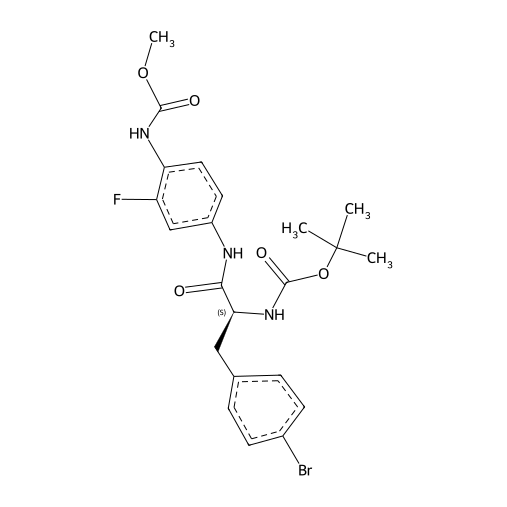 COC(=O)Nc1ccc(NC(=O)[C@H](Cc2ccc(Br)cc2)NC(=O)OC(C)(C)C)cc1F